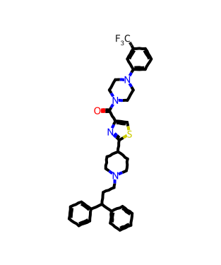 O=C(c1csc(C2CCN(CCC(c3ccccc3)c3ccccc3)CC2)n1)N1CCN(c2cccc(C(F)(F)F)c2)CC1